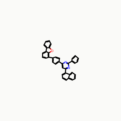 c1ccc(-c2nc(-c3ccc(-c4cccc5c4oc4ccccc45)cc3)cc(-c3cccc4ccccc34)n2)cc1